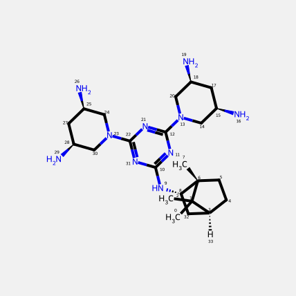 CC1(C)[C@H]2CC[C@@]1(C)[C@@H](Nc1nc(N3C[C@H](N)C[C@H](N)C3)nc(N3C[C@H](N)C[C@H](N)C3)n1)C2